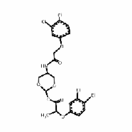 CC(Oc1ccc(Cl)c(Cl)c1)C(=O)OC1OCC(NC(=O)COc2ccc(Cl)c(Cl)c2)CO1